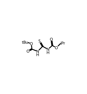 CC(C)OC(=O)NC(=S)NC(=O)OC(C)(C)C